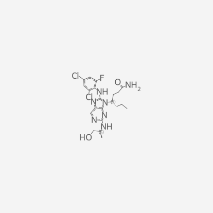 CCC[C@@H](CCC(N)=O)n1c(Nc2c(F)cc(Cl)cc2Cl)nc2cnc(N[C@@H](C)CO)nc21